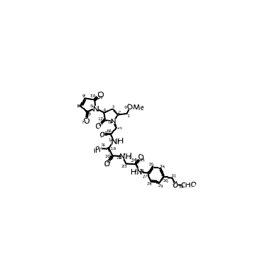 COCC1CC(N2C(=O)C=CC2=O)C(=O)N1CC(=O)NC(C(=O)NCC(=O)Nc1ccc(COC=O)cc1)C(C)C